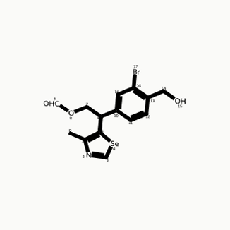 Cc1nc[se]c1C(COC=O)c1ccc(CO)c(Br)c1